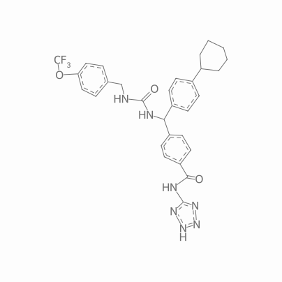 O=C(NCc1ccc(OC(F)(F)F)cc1)NC(c1ccc(C(=O)Nc2nn[nH]n2)cc1)c1ccc(C2CCCCC2)cc1